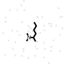 [CH2]C(CCCC)N(C)C